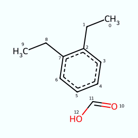 CCc1ccccc1CC.O=CO